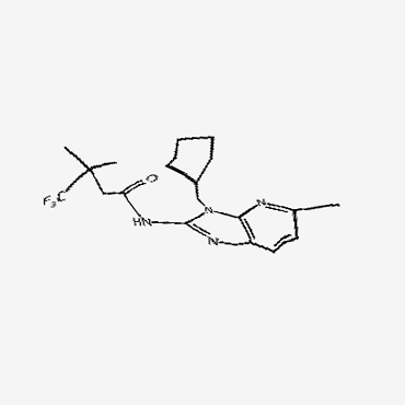 Cc1ccc2nc(NC(=O)CC(C)(C)C(F)(F)F)n(C3CCC3)c2n1